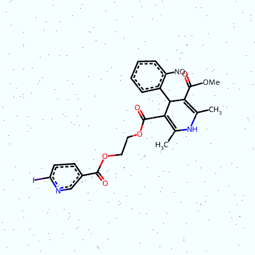 COC(=O)C1=C(C)NC(C)=C(C(=O)OCCOC(=O)c2ccc(I)nc2)C1c1ccccc1[N+](=O)[O-]